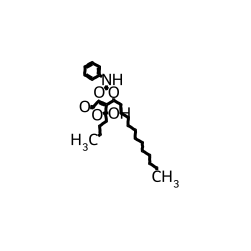 CCCCCCCCCCCCC(OC(=O)Nc1ccccc1)C1=CC(=O)OC1(O)CCCC